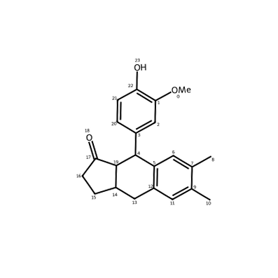 COc1cc(C2c3cc(C)c(C)cc3CC3CCC(=O)C32)ccc1O